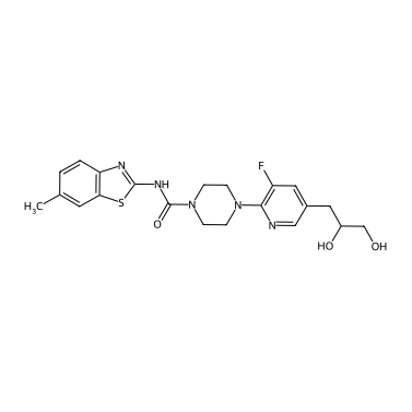 Cc1ccc2nc(NC(=O)N3CCN(c4ncc(CC(O)CO)cc4F)CC3)sc2c1